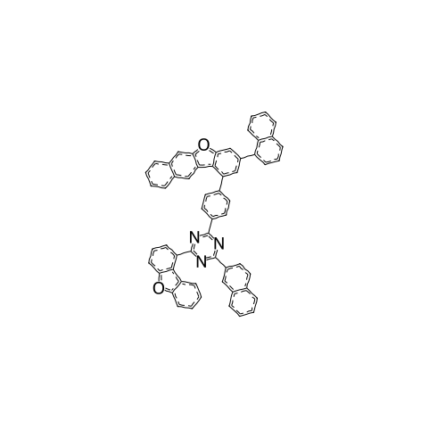 c1ccc2cc(-c3nc(-c4ccc(-c5cc(-c6cccc7ccccc67)cc6oc7cc8ccccc8cc7c56)cc4)nc(-c4cccc5oc6ccccc6c45)n3)ccc2c1